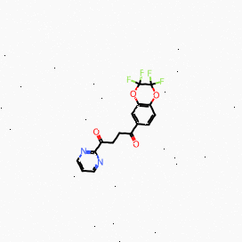 O=C(CCC(=O)c1ncccn1)c1ccc2c(c1)OC(F)(F)C(F)(F)O2